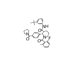 Cc1cccc(F)c1C(=O)N1CCC[C@H](C(=O)Nc2cccc(C(C)(C)C)c2)[C@@H]1c1ccc(C(=O)N2CCCC2)cc1